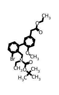 CCOC(=O)Cc1ccc(OC)c(-c2cccc(Br)c2CN(CC)C(=O)OC(C)(C)C)c1